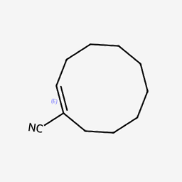 N#C/C1=C/CCCCCCCC1